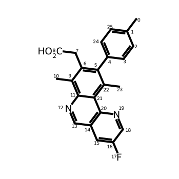 Cc1ccc(-c2c(CC(=O)O)c(C)c3ncc4cc(F)cnc4c3c2C)cc1